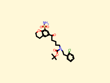 CC(C)(C)OC(=O)N(CCCCC(=O)c1cc2c(c(S(N)(=O)=O)c1)OCCC2)CCc1ccccc1Cl